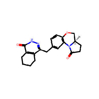 O=C1CC[C@@H]2COc3ccc(Cc4n[nH]c(=O)c5c4CCCC5)cc3N12